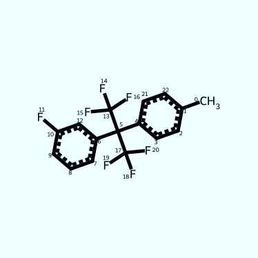 Cc1ccc(C(c2cccc(F)c2)(C(F)(F)F)C(F)(F)F)cc1